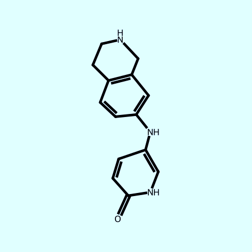 O=c1ccc(Nc2ccc3c(c2)CNCC3)c[nH]1